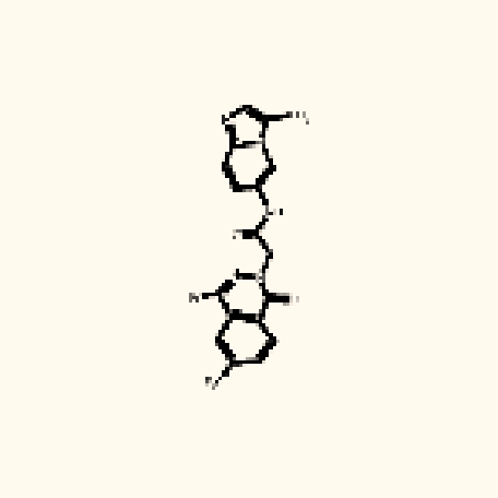 Cc1cnc2ccc(NC(=O)Cn3nc(C(C)C)c4cc(C(F)(F)F)ccc4c3=O)cn12